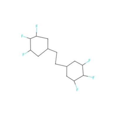 FC1CC(CCC2CC(F)C(F)C(F)C2)CC(F)C1F